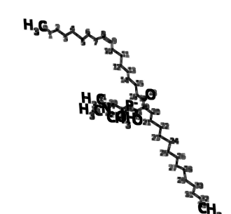 CCCCCCCC/C=C\CCCCCCCC(=O)C(CCCCCCCCCCCCCC)C(=O)[P-]C(O)C[N+](C)(C)C